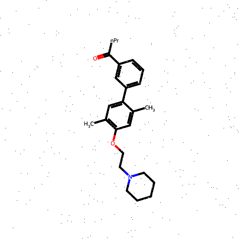 CCCC(=O)c1cccc(-c2cc(C)c(OCCN3CCCCC3)cc2C)c1